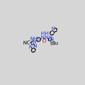 CC(C)(C)c1cc(NC(=O)Nc2ccc(-n3c(N)c(C#N)c4nc5ccccc5nc43)cc2)n(-c2ccc3ncccc3c2)n1